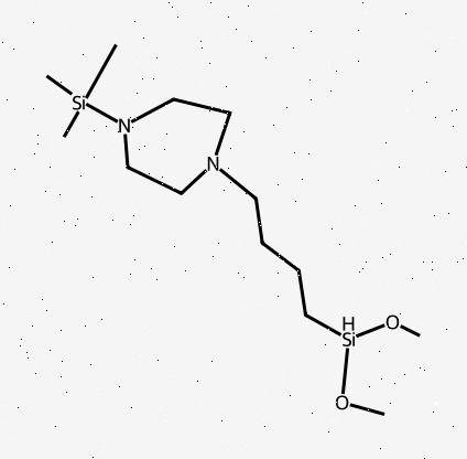 CO[SiH](CCCCN1CCN([Si](C)(C)C)CC1)OC